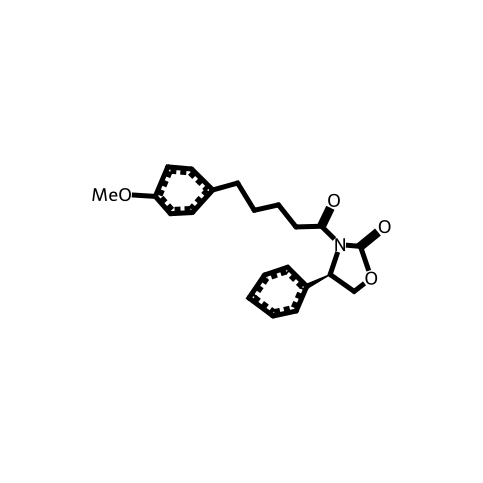 COc1ccc(CCCCC(=O)N2C(=O)OC[C@H]2c2ccccc2)cc1